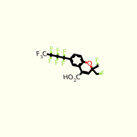 O=C(O)C1=CC(CF)(CF)Oc2ccc(C(F)(F)C(F)(F)C(F)(F)C(F)(F)F)cc21